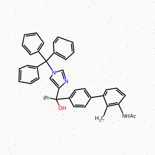 CC(=O)Nc1cccc(-c2ccc(C(O)(c3cn(C(c4ccccc4)(c4ccccc4)c4ccccc4)cn3)C(C)C)cc2)c1C